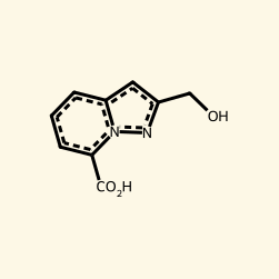 O=C(O)c1cccc2cc(CO)nn12